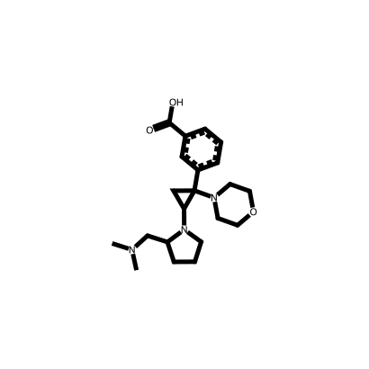 CN(C)CC1CCCN1C1CC1(c1cccc(C(=O)O)c1)N1CCOCC1